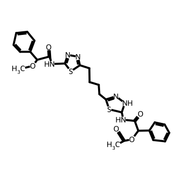 COC(C(=O)Nc1nnc(CCCCC2=NNC(NC(=O)C(OC(C)=O)c3ccccc3)S2)s1)c1ccccc1